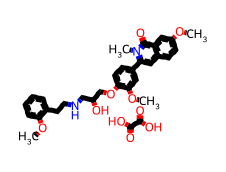 COc1ccc2cc(-c3ccc(OCC(O)CNCCc4ccccc4OC)c(OC)c3)n(C)c(=O)c2c1.O=C(O)C(=O)O